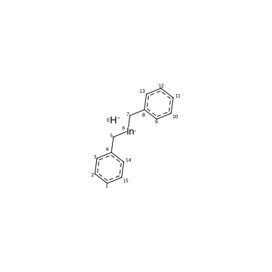 [H-].c1ccc([CH2][In][CH2]c2ccccc2)cc1